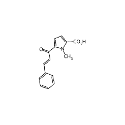 Cn1c(C(=O)O)ccc1C(=O)C=Cc1ccccc1